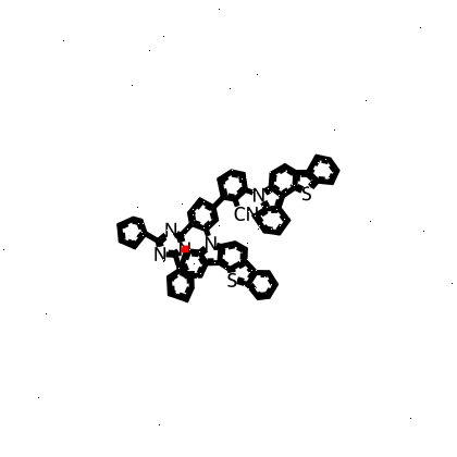 N#Cc1c(-c2ccc(-c3nc(-c4ccccc4)nc(-c4ccccc4)n3)c(-n3c4ccccc4c4c5sc6ccccc6c5ccc43)c2)cccc1-n1c2ccccc2c2c3sc4ccccc4c3ccc21